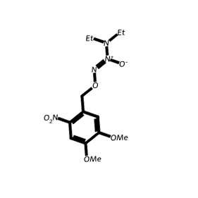 CCN(CC)[N+]([O-])=NOCc1cc(OC)c(OC)cc1[N+](=O)[O-]